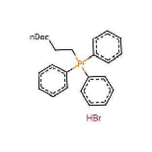 Br.CCCCCCCCCCCC[P](c1ccccc1)(c1ccccc1)c1ccccc1